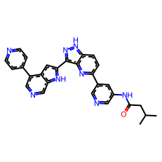 CC(C)CC(=O)Nc1cncc(-c2ccc3[nH]nc(-c4cc5c(-c6ccncc6)cncc5[nH]4)c3n2)c1